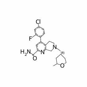 CC1C[C@H](CN2CCc3c(-c4ccc(Cl)cc4F)cc(C(N)=O)nc3C2)CCO1